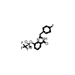 O=c1[nH]c(Cc2ccc(F)cc2)nc2c(OS(=O)(=O)C(F)(F)F)cccc12